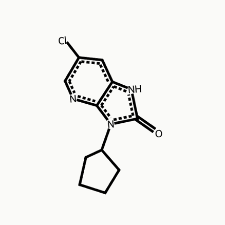 O=c1[nH]c2cc(Cl)cnc2n1C1CCCC1